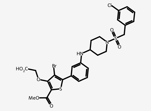 COC(=O)c1sc(-c2cccc(NC3CCN(S(=O)(=O)Cc4cccc(Cl)c4)CC3)c2)c(Br)c1OCC(=O)O